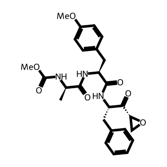 COC(=O)N[C@H](C)C(=O)N[C@@H](Cc1ccc(OC)cc1)C(=O)N[C@@H](Cc1ccccc1)C(=O)[C@H]1CO1